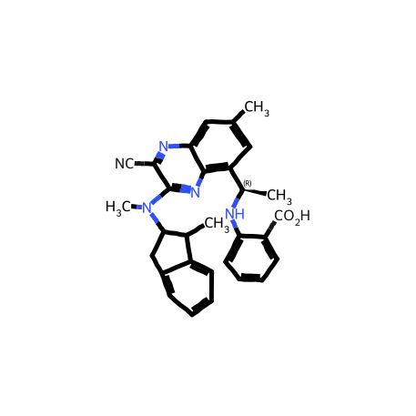 Cc1cc([C@@H](C)Nc2ccccc2C(=O)O)c2nc(N(C)C3Cc4ccccc4C3C)c(C#N)nc2c1